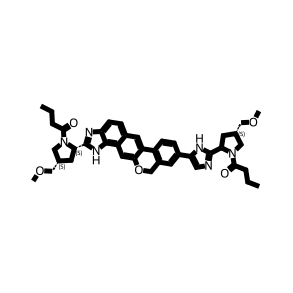 CCCC(=O)N1C[C@@H](COC)CC1c1ncc(-c2ccc3c(c2)COc2cc4c(ccc5nc([C@@H]6C[C@H](COC)CN6C(=O)CCC)[nH]c54)cc2-3)[nH]1